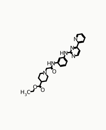 CCOC(=O)C1CCN(CC(=O)Nc2cccc(Nc3nccc(-c4ccccn4)n3)c2)CC1